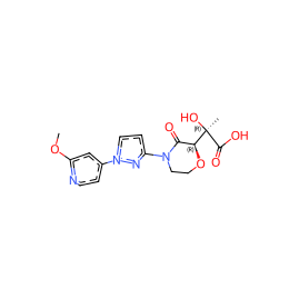 COc1cc(-n2ccc(N3CCO[C@H]([C@@](C)(O)C(=O)O)C3=O)n2)ccn1